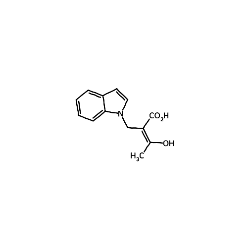 C/C(O)=C(\Cn1ccc2ccccc21)C(=O)O